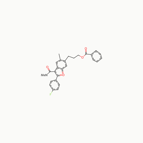 CNC(=O)c1c(-c2ccc(F)cc2)oc2cc(CCCOC(=O)c3ccccc3)c(C)cc12